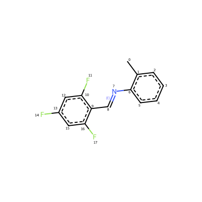 Cc1ccccc1/N=C/c1c(F)cc(F)cc1F